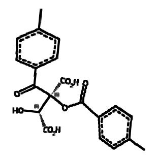 Cc1ccc(C(=O)O[C@](C(=O)O)(C(=O)c2ccc(C)cc2)[C@@H](O)C(=O)O)cc1